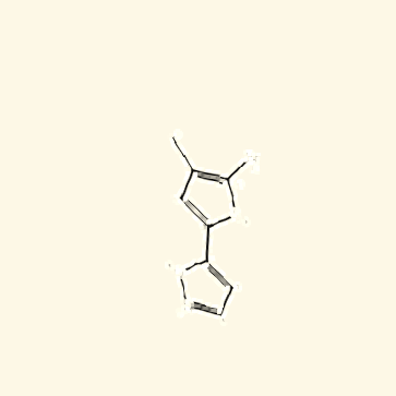 Cc1cc(-c2ccno2)sc1Br